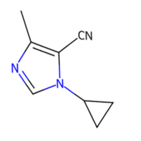 Cc1ncn(C2CC2)c1C#N